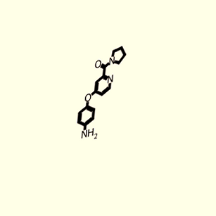 Nc1ccc(Oc2ccnc(C(=O)N3CCCC3)c2)cc1